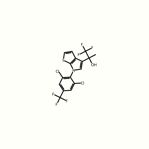 CC(O)(c1cn(-c2c(Cl)cc(C(F)(F)F)cc2Cl)c2sccc12)C(F)(F)F